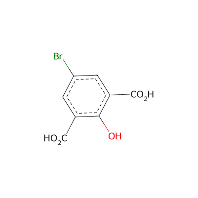 O=C(O)c1cc(Br)cc(C(=O)O)c1O